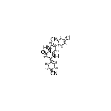 CC1=C(c2ccc(Cl)cc2Cl)C=C2NC(c3ccc(C#N)cc3)=CC(=O)N2N1